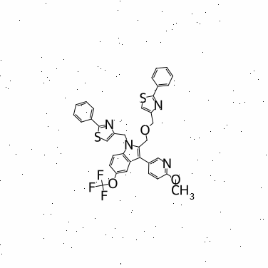 COc1ccc(-c2c(COCc3csc(-c4ccccc4)n3)n(Cc3csc(-c4ccccc4)n3)c3ccc(OC(F)(F)F)cc23)cn1